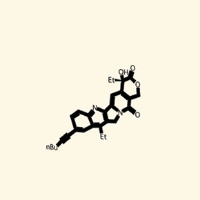 CCCCC#Cc1ccc2nc3c(c(CC)c2c1)Cn1c-3cc2c(c1=O)COC(=O)[C@]2(O)CC